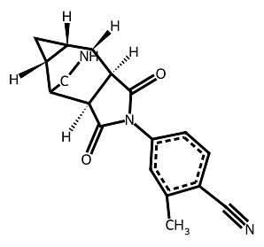 Cc1cc(N2C(=O)[C@@H]3[C@@H]4NCC([C@@H]5C[C@H]45)[C@@H]3C2=O)ccc1C#N